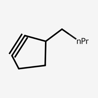 CCCCC1C#CCC1